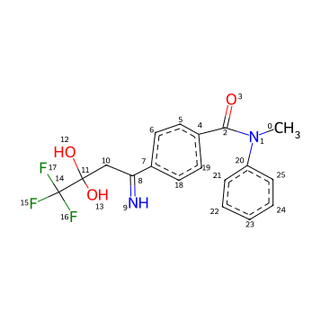 CN(C(=O)c1ccc(C(=N)CC(O)(O)C(F)(F)F)cc1)c1ccccc1